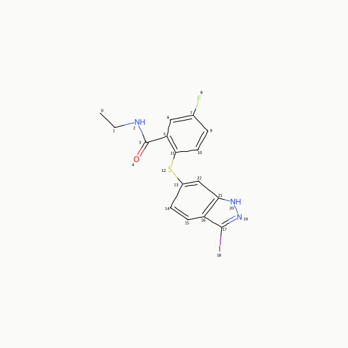 CCNC(=O)c1cc(F)ccc1Sc1ccc2c(I)n[nH]c2c1